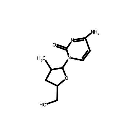 CC1CC(CO)OC1n1ccc(N)nc1=O